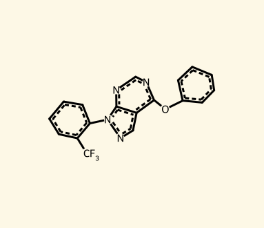 FC(F)(F)c1ccccc1-n1ncc2c(Oc3ccccc3)ncnc21